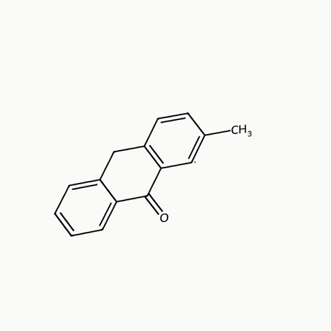 Cc1[c]c2c(cc1)Cc1ccccc1C2=O